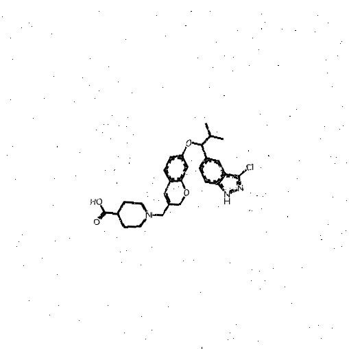 CC(C)C(Oc1ccc2c(c1)OCC(CN1CCC(C(=O)O)CC1)=C2)c1ccc2[nH]nc(Cl)c2c1